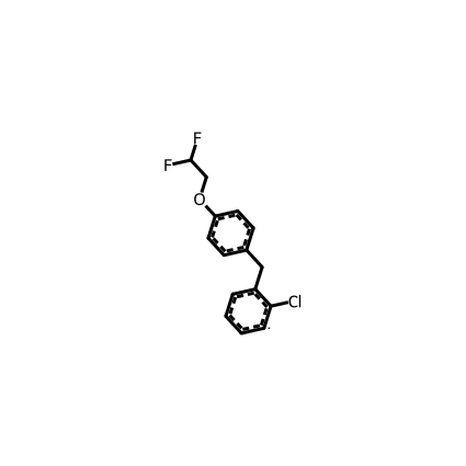 FC(F)COc1ccc(Cc2ccc[c]c2Cl)cc1